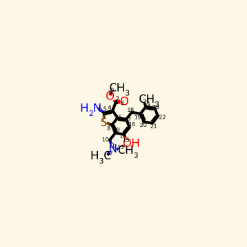 COC(=O)c1c(N)sc2c(CN(C)C)c(O)cc(Cc3ccccc3C)c12